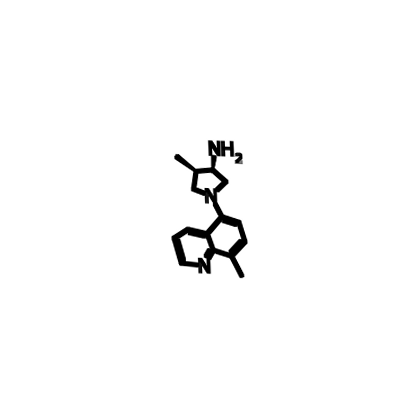 Cc1ccc(N2C[C@@H](C)[C@@H](N)C2)c2cccnc12